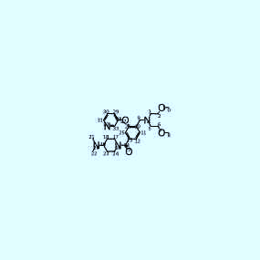 COCCN(CCOC)Cc1ccc(C(=O)N2CCC(N(C)C)CC2)cc1Oc1cccnc1